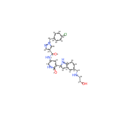 O=C(Nc1c[nH]c(=O)c(-c2cc3cc(CNCCO)ccc3[nH]2)c1)c1cnn(Cc2ccc(Cl)cc2)c1